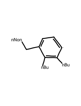 CCCCCCCCCCc1cc[c]c(CCCC)c1CCCC